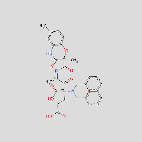 Cc1ccc2c(c1)NC(=O)C(C)(C(=O)N[C@@H](C)C(=O)[C@@](CCC(=O)O)(C(=O)O)N(Cc1ccccc1)Cc1ccccc1)O2